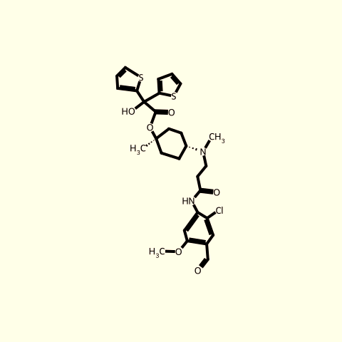 COc1cc(NC(=O)CCN(C)[C@H]2CC[C@](C)(OC(=O)C(O)(c3cccs3)c3cccs3)CC2)c(Cl)cc1C=O